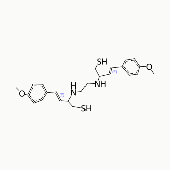 COc1ccc(/C=C/C(CS)NCCNC(/C=C/c2ccc(OC)cc2)CS)cc1